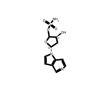 NS(=O)(=O)OC1O[C@@H](n2ccc3cnccc32)C[C@@H]1O